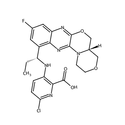 CC[C@@H](Nc1ccc(Cl)nc1C(=O)O)c1cc(F)cc2nc3c(nc12)N1CCOC[C@H]1CO3